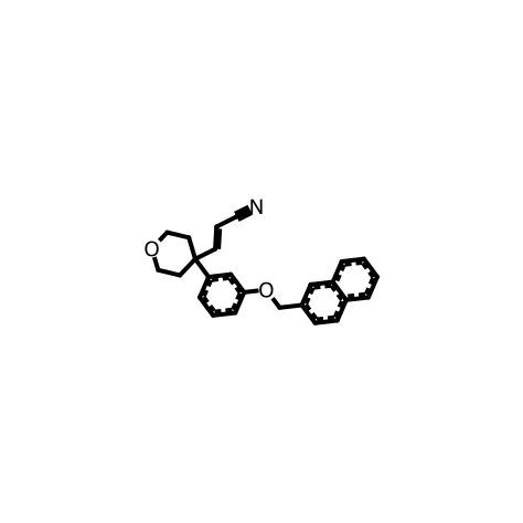 N#CC=CC1(c2cccc(OCc3ccc4ccccc4c3)c2)CCOCC1